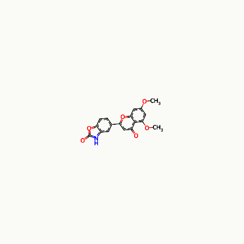 COc1cc(OC)c2c(=O)cc(-c3ccc4oc(=O)[nH]c4c3)oc2c1